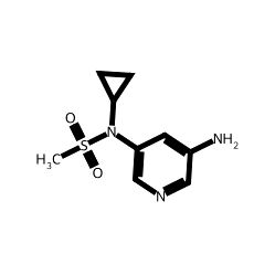 CS(=O)(=O)N(c1cncc(N)c1)C1CC1